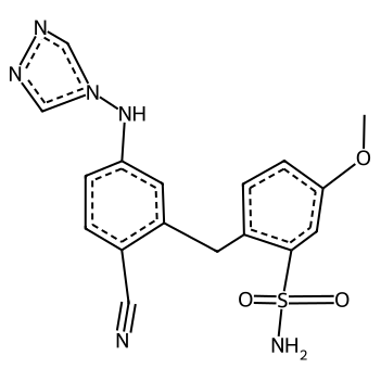 COc1ccc(Cc2cc(Nn3cnnc3)ccc2C#N)c(S(N)(=O)=O)c1